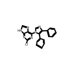 Clc1nc(-n2cnc(-c3ccccc3)c2-c2ccccc2)c2nc[nH]c2n1